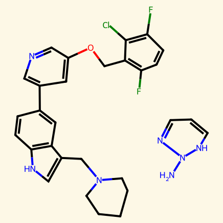 Fc1ccc(F)c(COc2cncc(-c3ccc4[nH]cc(CN5CCCCC5)c4c3)c2)c1Cl.NN1N=CC=CN1